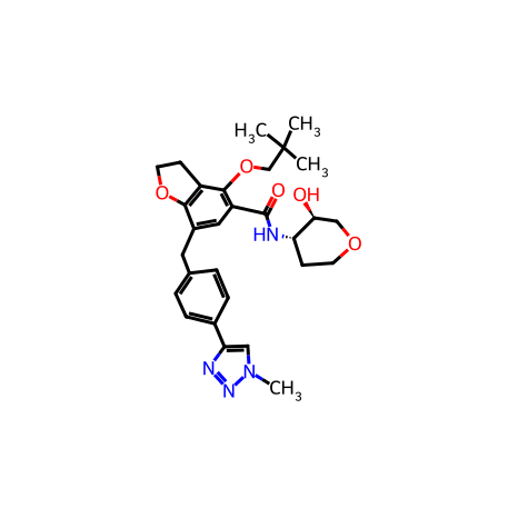 Cn1cc(-c2ccc(Cc3cc(C(=O)N[C@H]4CCOC[C@@H]4O)c(OCC(C)(C)C)c4c3OCC4)cc2)nn1